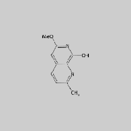 COc1cc2ccc(C)nc2c(O)n1